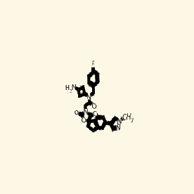 Cn1cc(-c2ccc3c(c2)CCC32OC(=O)N(CC(=O)N(Cc3ccc(F)cc3)C3CC(N)C3)C2=O)cn1